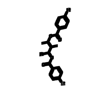 CCc1ccc(C(=O)OC(C)C(C)C(CC)OC(=O)c2ccc(CC)cc2)cc1